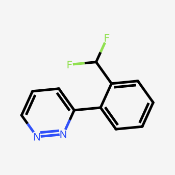 FC(F)c1ccccc1-c1cccnn1